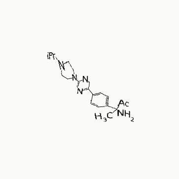 CC(=O)C(C)(N)c1ccc(-c2cnc(N3CCN(C(C)C)CC3)cn2)cc1